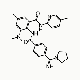 Cc1ccc(NC(=O)c2cc(C)cc(N(C)C)c2NC(=O)c2ccc(C(=N)N3CCCC3)cc2)nc1